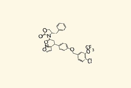 O=C(CC(c1ccc(OCc2ccc(Cl)c(OC(F)(F)F)c2)cc1)c1ccon1)N1C(=O)OCC1Cc1ccccc1